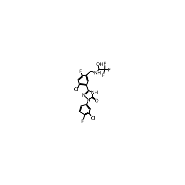 O=c1[nH]c(-c2cc(CNC(O)C(F)(F)F)c(F)cc2Cl)nn1-c1ccc(F)c(Cl)c1